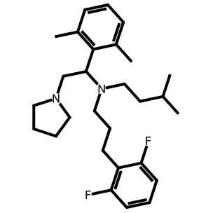 Cc1cccc(C)c1C(CN1CCCC1)N(CCCc1c(F)cccc1F)CCC(C)C